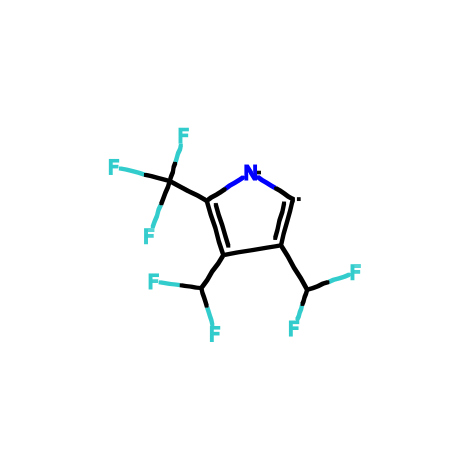 FC(F)C1=[C][N]C(C(F)(F)F)=C1C(F)F